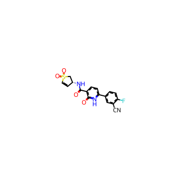 N#Cc1cc(-c2ccc(C(=O)N[C@@H]3C=CS(=O)(=O)C3)c(=O)[nH]2)ccc1F